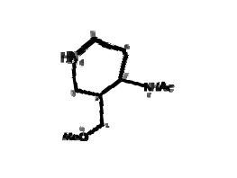 COCC1CNCCC1NC(C)=O